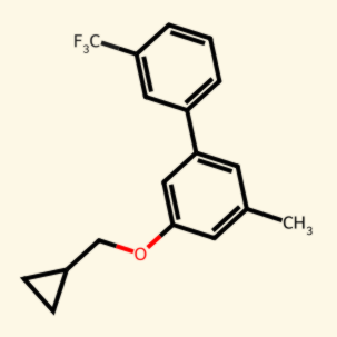 Cc1cc(OCC2CC2)cc(-c2cccc(C(F)(F)F)c2)c1